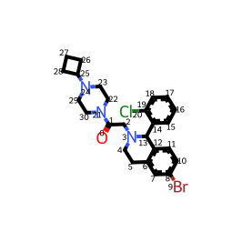 O=C(CN1CCc2cc(Br)ccc2C1c1ccccc1Cl)N1CCN(C2CCC2)CC1